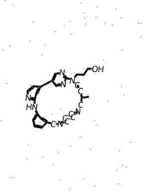 CC1CCN(CCCO)c2ncc(cn2)-c2ccnc(c2)Nc2cccc(c2)CN2CCN(CC2)C1